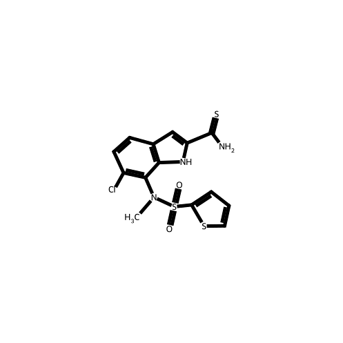 CN(c1c(Cl)ccc2cc(C(N)=S)[nH]c12)S(=O)(=O)c1cccs1